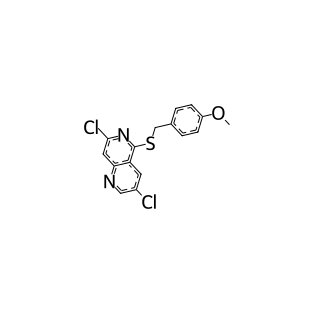 COc1ccc(CSc2nc(Cl)cc3ncc(Cl)cc23)cc1